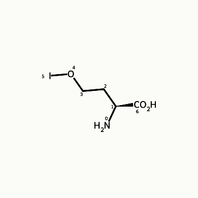 N[C@@H](CCOI)C(=O)O